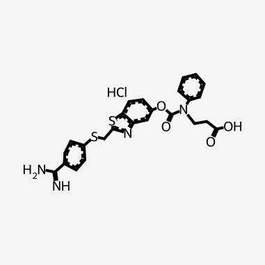 Cl.N=C(N)c1ccc(SCc2nc3cc(OC(=O)N(CCC(=O)O)c4ccccc4)ccc3s2)cc1